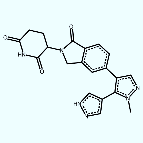 Cn1ncc(-c2ccc3c(c2)CN(C2CCC(=O)NC2=O)C3=O)c1-c1cn[nH]c1